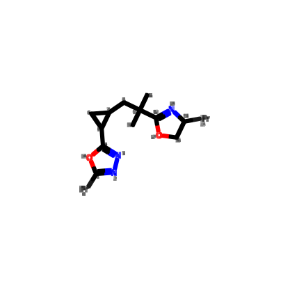 CC(C)c1nnc(C2CC2CC(C)(C)C2=NC(C(C)C)CO2)o1